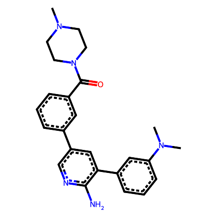 CN1CCN(C(=O)c2cccc(-c3cnc(N)c(-c4cccc(N(C)C)c4)c3)c2)CC1